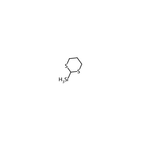 [SiH3]C1SCCCS1